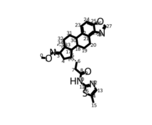 CON=C1C[C@@H](CCC(=O)Nc2ncc(C)s2)C2C3CCc4c(ccc5ocnc45)C3CC[C@]12C